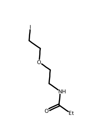 CCC(=O)NCCOCCI